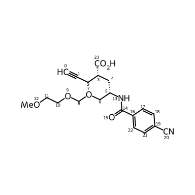 C#CC[C@@H](C[C@@H](COCOCCOC)NC(=O)c1ccc(C#N)cc1)C(=O)O